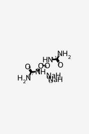 NC(=O)NOONC(N)=O.[NaH].[NaH]